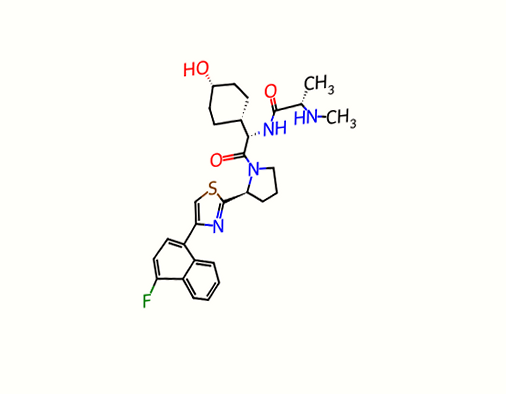 CN[C@@H](C)C(=O)N[C@H](C(=O)N1CCC[C@H]1c1nc(-c2ccc(F)c3ccccc23)cs1)[C@H]1CC[C@@H](O)CC1